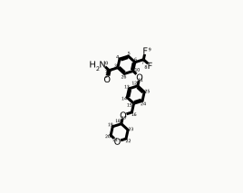 NC(=O)c1ccc(C(F)F)c(Oc2ccc(COC3CCOCC3)cc2)c1